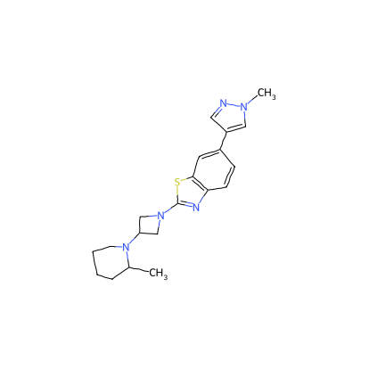 CC1CCCCN1C1CN(c2nc3ccc(-c4cnn(C)c4)cc3s2)C1